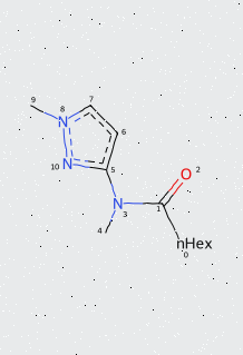 CCCCCCC(=O)N(C)c1ccn(C)n1